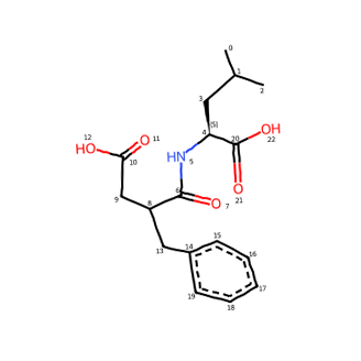 CC(C)C[C@H](NC(=O)C(CC(=O)O)Cc1ccccc1)C(=O)O